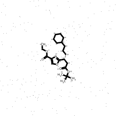 CCOC(=O)c1coc([C@H](CCCC2CCCCC2)CC(=O)OC(C)(C)C)n1